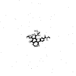 CCNC(=O)c1ccc(C2CNCCc3c2cc(C(=O)NCC)c(C(=O)NCC)c3Cl)cc1.Cl